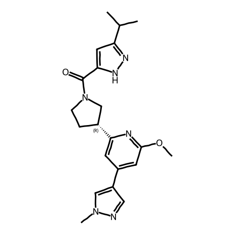 COc1cc(-c2cnn(C)c2)cc([C@@H]2CCN(C(=O)c3cc(C(C)C)n[nH]3)C2)n1